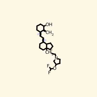 C=C1/C(=C\C=C2/CCCC3(C)C2CC[C@@H]3CCN2CCC(OC(F)F)C2)CCCC1O